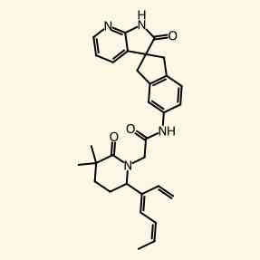 C=C/C(=C\C=C/C)C1CCC(C)(C)C(=O)N1CC(=O)Nc1ccc2c(c1)CC1(C2)C(=O)Nc2ncccc21